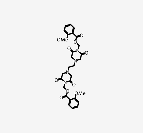 COc1ccccc1C(=O)OCN1C(=O)CN(CCN2CC(=O)N(COC(=O)c3ccccc3OC)C(=O)C2)CC1=O